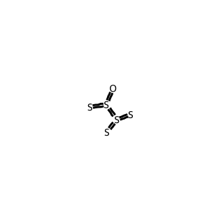 O=S(=S)=S(=S)=S